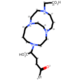 CCC(=O)CCC(C(=O)O)N1CCCN2CCN(CCCN(CC(=O)O)CC2)CC1